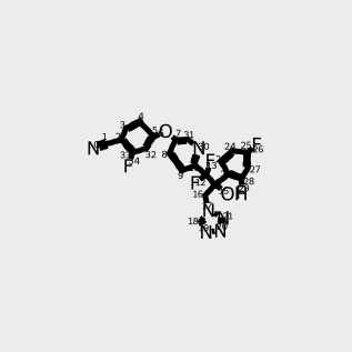 N#Cc1ccc(Oc2ccc(C(F)(F)C(O)(Cn3cnnn3)c3ccc(F)cc3F)nc2)cc1F